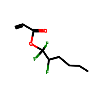 C=CC(=O)OC(F)(F)C(F)CCCC